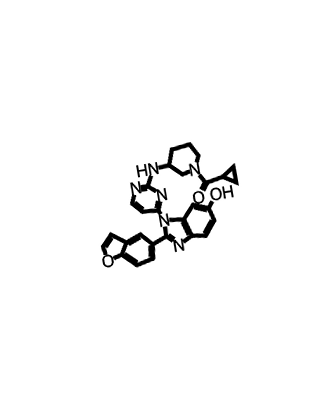 O=C(C1CC1)N1CCCC(Nc2nccc(-n3c(-c4ccc5occc5c4)nc4ccc(O)cc43)n2)C1